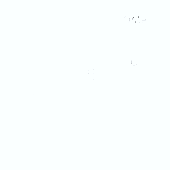 COC(=O)COCC#CI